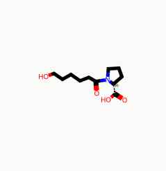 O=C(O)[C@H]1CCCN1C(=O)CCCCCO